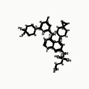 Cc1cc(Nc2ncnc3cc(NS(=O)(=O)CCO)cc(N4CCC5(CC4)CC5)c23)nc(N2CCC(F)(F)CC2)c1